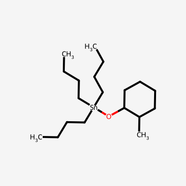 CCC[CH2][Sn]([CH2]CCC)([CH2]CCC)[O]C1CCCCC1C